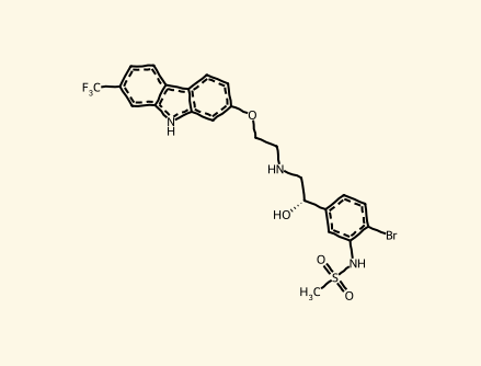 CS(=O)(=O)Nc1cc([C@H](O)CNCCOc2ccc3c(c2)[nH]c2cc(C(F)(F)F)ccc23)ccc1Br